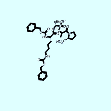 CCCC[C@@H](NC(=O)[C@H](CCCCNC(=O)OCc1ccccc1)NC(=O)OCc1ccccc1)P(=O)(O)OC(C)C(=O)N1CCC[C@H]1C(=O)O